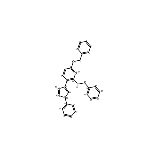 c1ccc(COc2ccc(-c3cn(-c4ccccc4)nn3)c(OCc3ccccc3)n2)cc1